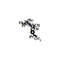 C/C=C\C(c1ccc(Cn2c(/N=N/c3nc(N(CC)CC)sc3C(C)(C)C)nc(C#N)c2C#N)cc1)C(C)C